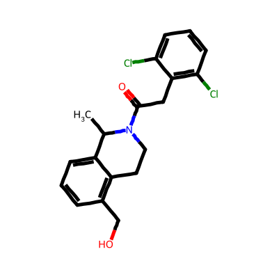 CC1c2cccc(CO)c2CCN1C(=O)Cc1c(Cl)cccc1Cl